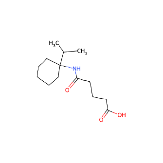 CC(C)C1(NC(=O)CCCC(=O)O)CCCCC1